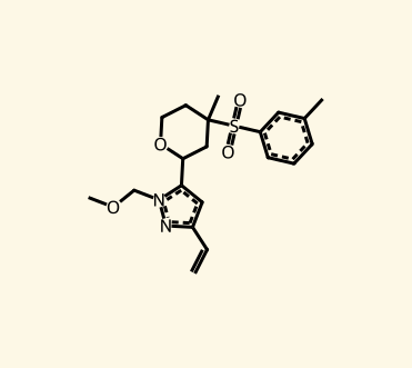 C=Cc1cc(C2CC(C)(S(=O)(=O)c3cccc(C)c3)CCO2)n(COC)n1